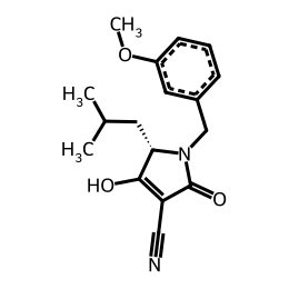 COc1cccc(CN2C(=O)C(C#N)=C(O)[C@@H]2CC(C)C)c1